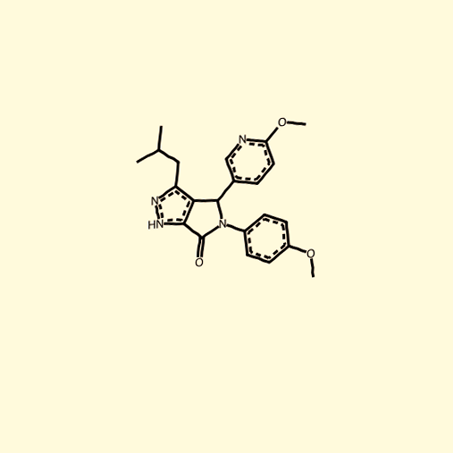 COc1ccc(N2C(=O)c3[nH]nc(CC(C)C)c3C2c2ccc(OC)nc2)cc1